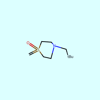 C=S1(=O)CCN(CC(C)(C)C)CC1